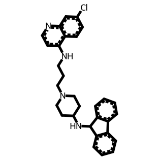 Clc1ccc2c(NCCCN3CCC(NC4c5ccccc5-c5ccccc54)CC3)ccnc2c1